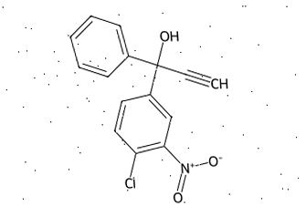 C#CC(O)(c1ccccc1)c1ccc(Cl)c([N+](=O)[O-])c1